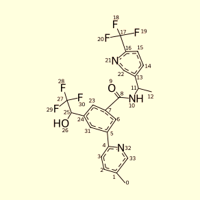 Cc1ccc(-c2cc(C(=O)NC(C)c3ccc(C(F)(F)F)nc3)cc(C(O)C(F)(F)F)c2)nc1